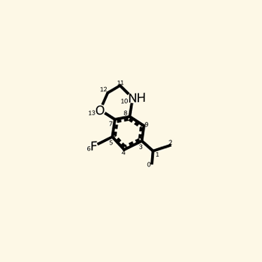 CC(C)c1cc(F)c2c(c1)NCCO2